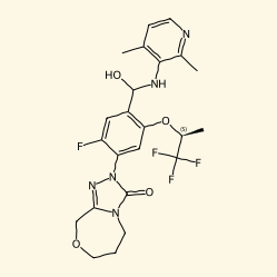 Cc1ccnc(C)c1NC(O)c1cc(F)c(-n2nc3n(c2=O)CCCOC3)cc1O[C@@H](C)C(F)(F)F